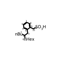 CCCCCCC(CCCC)Cc1ccccc1CS(=O)(=O)O